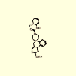 CNc1ncc2c(n1)-c1ccccc1C1(CCN(C(=O)Nc3ccccc3F)CC1)C2